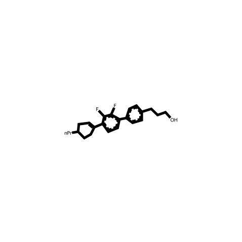 CCCC1CC=C(c2ccc(-c3ccc(CCCO)cc3)c(F)c2F)CC1